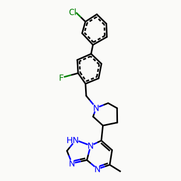 CC1=NC2=NCNN2C(C2CCCN(Cc3ccc(-c4cccc(Cl)c4)cc3F)C2)=C1